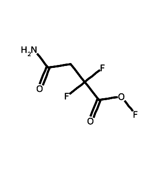 NC(=O)CC(F)(F)C(=O)OF